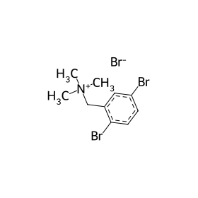 C[N+](C)(C)Cc1cc(Br)ccc1Br.[Br-]